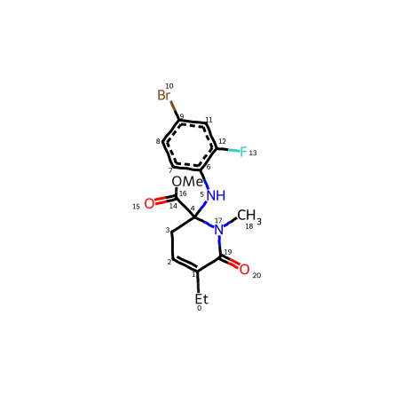 CCC1=CCC(Nc2ccc(Br)cc2F)(C(=O)OC)N(C)C1=O